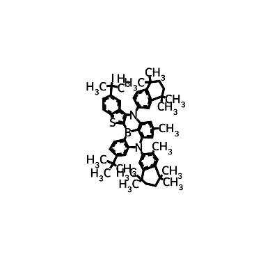 Cc1cc2c3c(c1)N(c1ccc4c(c1)C(C)(C)CCC4(C)C)c1c(sc4ccc(C(C)(C)I)cc14)B3c1ccc(C(C)(C)C)cc1N2c1cc2c(cc1C)C(C)(C)CCC2(C)C